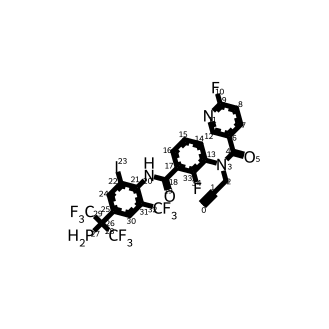 C#CCN(C(=O)c1ccc(F)nc1)c1cccc(C(=O)Nc2c(I)cc(C(P)(C(F)(F)F)C(F)(F)F)cc2C(F)(F)F)c1F